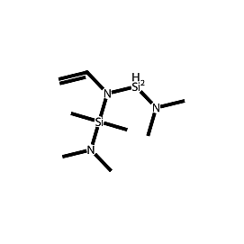 C=CN([SiH2]N(C)C)[Si](C)(C)N(C)C